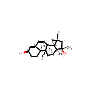 C[C@]12CC[C@H]3[C@@H](C=CC4=CC(=O)CC[C@@]43C)[C@]13C[C@@H]3C[C@]2(C)O